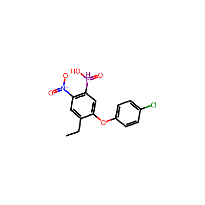 CCc1cc([N+](=O)[O-])c([PH](=O)O)cc1Oc1ccc(Cl)cc1